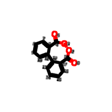 O=C1OOC(=O)c2ccccc2-c2ccccc21